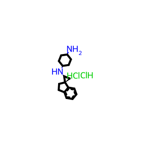 Cl.Cl.N[C@H]1CC[C@H](N[C@@H]2C[C@@]23CCc2ccccc23)CC1